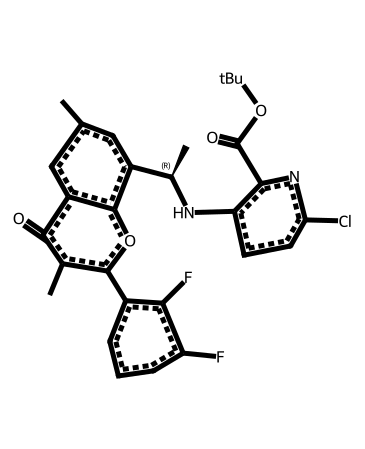 Cc1cc([C@@H](C)Nc2ccc(Cl)nc2C(=O)OC(C)(C)C)c2oc(-c3cccc(F)c3F)c(C)c(=O)c2c1